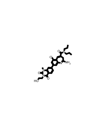 CCCN(CCC)C(=O)C1=Cc2c(Cl)cc(-c3ccc4c(=O)n(CCO)c(=O)n(C)c4c3)cc2N=C(N)C1